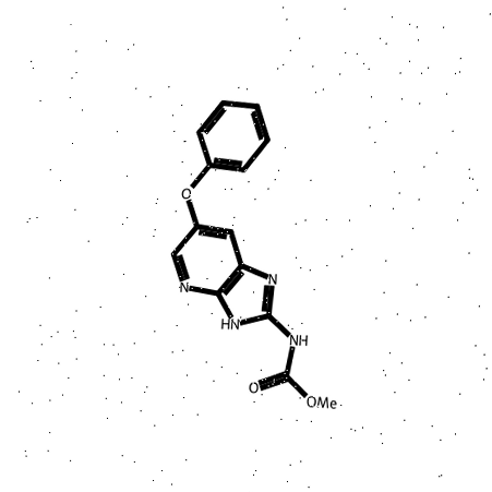 COC(=O)Nc1nc2cc(Oc3ccccc3)cnc2[nH]1